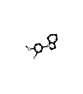 COc1ccc(-n2ccc3ccccc32)cc1F